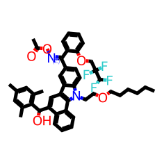 CCCCCCOCCn1c2ccc(/C(=N/OC(C)=O)c3ccccc3OCC(F)(F)C(F)F)cc2c2cc(C(O)c3c(C)cc(C)cc3C)c3ccccc3c21